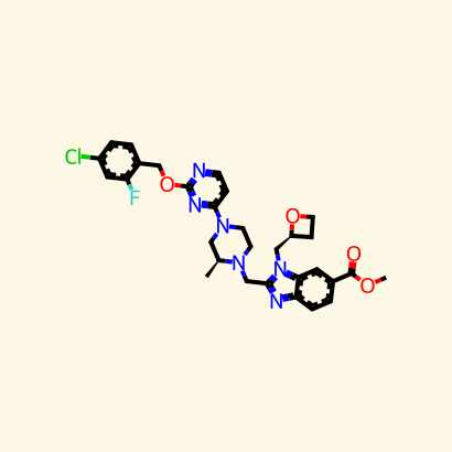 COC(=O)c1ccc2nc(CN3CCN(c4ccnc(OCc5ccc(Cl)cc5F)n4)C[C@@H]3C)n(C[C@@H]3CCO3)c2c1